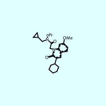 CCCN(CC1CC1)C(=O)Cn1c(=O)c(C2CCCCC2)cc2ccc(OC)cc21